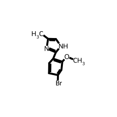 COc1cc(Br)ccc1-c1nc(C)c[nH]1